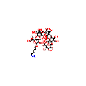 NCCCCCO[C@@H]1OC(C(=O)O)[C@@H](O[C@H]2OC(CO)[C@H](O[C@H]3OC(CO)[C@@H](O[C@@H]4OC(CO)[C@@H](O[C@@H]5OC(C(=O)O)[C@@H](O)C(O)[C@@H]5O)C(O)[C@@H]4O)[C@H](O)C3O)[C@H](O)C2O)C(O)[C@@H]1O